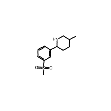 CC1CCC(c2cccc(S(C)(=O)=O)c2)NC1